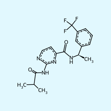 CC(C)C(=O)Nc1nccc(C(=O)N[C@H](C)c2cccc(C(F)(F)F)c2)n1